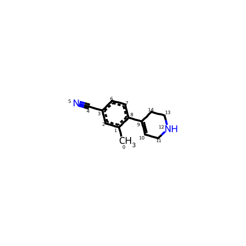 Cc1cc(C#N)ccc1C1=CCNCC1